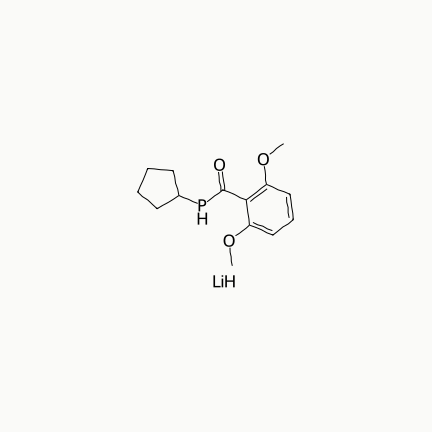 COc1cccc(OC)c1C(=O)PC1CCCC1.[LiH]